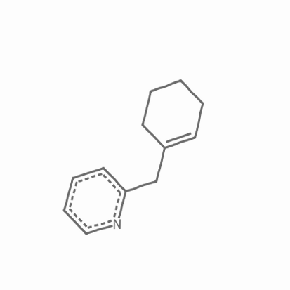 C1=C(Cc2ccccn2)CCCC1